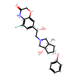 O=C1COc2cc([C@H](O)CN3C[C@H]4C[C@H](Oc5ccccc5)C[C@@]4(O)C3)cc(F)c2N1